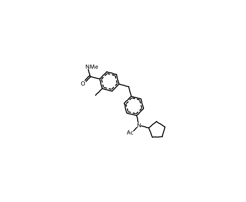 CNC(=O)c1ccc(Cc2ccc(N(C(C)=O)C3CCCC3)cc2)cc1C